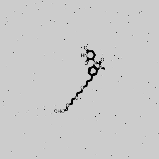 Cn1c(=O)n(C2CCC(=O)NC2=O)c2ccc(CCCOCCOCCOCC=O)cc21